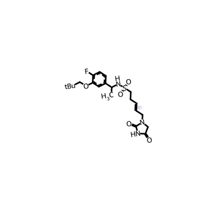 CC(NS(=O)(=O)CC/C=C/CN1CC(=O)NC1=O)c1ccc(F)c(OCC(C)(C)C)c1